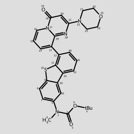 CN(C(=O)OC(C)(C)C)c1ccc2sc3c(-c4cccn5c(=O)cc(N6CCOCC6)nc45)cccc3c2c1